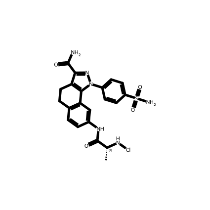 C[C@@H](NCl)C(=O)Nc1ccc2c(c1)-c1c(c(C(N)=O)nn1-c1ccc(S(N)(=O)=O)cc1)CC2